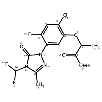 COC(=O)C(C)Oc1cc(-n2nc(C)n(C(F)F)c2=O)c(F)cc1Cl